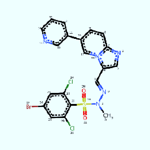 CN(/N=C/c1cnc2ccc(-c3cccnc3)cn12)S(=O)(=O)c1c(Cl)cc(Br)cc1Cl